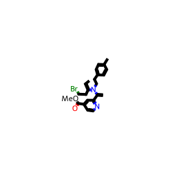 C=C(c1cc(C(=O)OC)ccn1)N(CCc1ccc(C)cc1)/C(=C\C)CCBr